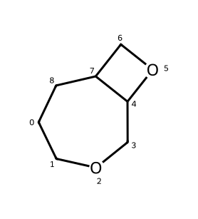 C1COCC2OCC2C1